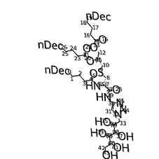 CCCCCCCCCCCCCC(=O)N[C@H](CSC[C@@H](COC(=O)CCCCCCCCCCCCC)OC(=O)CCCCCCCCCCCCC)C(=O)Nc1cn(C[C@H](O)[C@H](O)[C@H](O)[C@H](O)CO)nn1